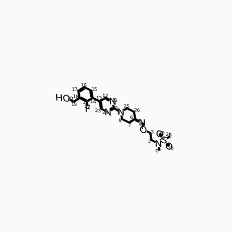 CN(CCON=C1CCN(c2ncc(-c3cccc(CO)c3F)cn2)CC1)S(C)(=O)=O